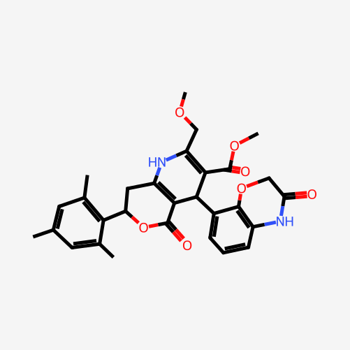 COCC1=C(C(=O)OC)C(c2cccc3c2OCC(=O)N3)C2=C(CC(c3c(C)cc(C)cc3C)OC2=O)N1